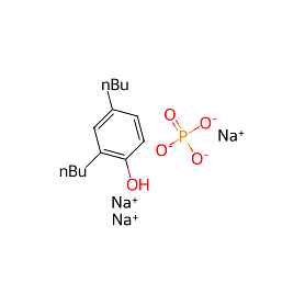 CCCCc1ccc(O)c(CCCC)c1.O=P([O-])([O-])[O-].[Na+].[Na+].[Na+]